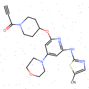 C#CC(=O)N1CCC(Oc2cc(N3CCOCC3)cc(Nc3ncc(C#N)s3)n2)CC1